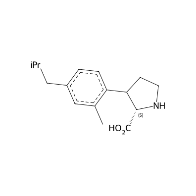 Cc1cc(CC(C)C)ccc1C1CCN[C@@H]1C(=O)O